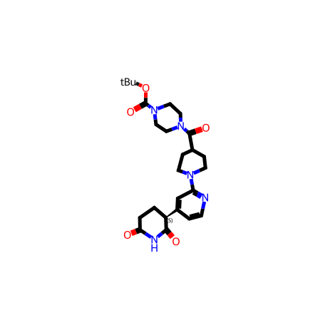 CC(C)(C)OC(=O)N1CCN(C(=O)C2CCN(c3cc([C@@H]4CCC(=O)NC4=O)ccn3)CC2)CC1